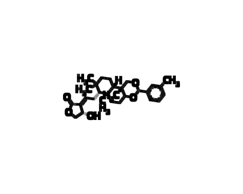 Cc1cccc(C2OC[C@]3(C)C(CC[C@@]4(C)[C@H](C/C=C5/C(=O)OC[C@H]5O)C(C)(C)CC[C@@H]43)O2)c1